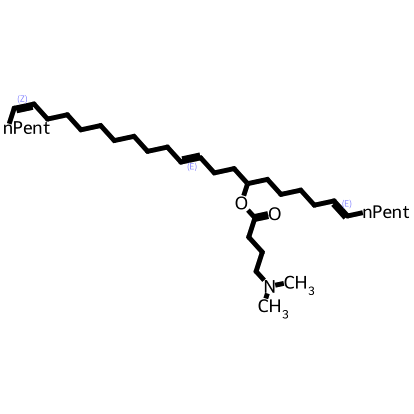 CCCCC/C=C\CCCCCCCC/C=C/CCC(CCCC/C=C/CCCCC)OC(=O)CCCN(C)C